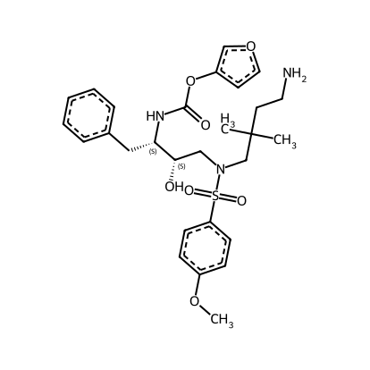 COc1ccc(S(=O)(=O)N(C[C@H](O)[C@H](Cc2ccccc2)NC(=O)Oc2ccoc2)CC(C)(C)CCN)cc1